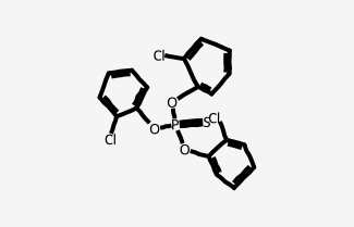 S=P(Oc1ccccc1Cl)(Oc1ccccc1Cl)Oc1ccccc1Cl